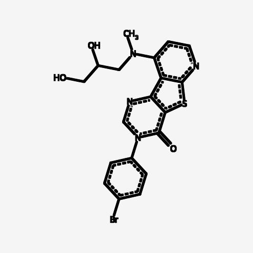 CN(CC(O)CO)c1ccnc2sc3c(=O)n(-c4ccc(Br)cc4)cnc3c12